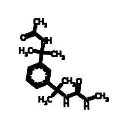 CNC(=O)NC(C)(C)c1cccc(C(C)(C)NC(C)=O)c1